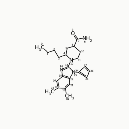 CCCCC1CC(C(N)=O)CCN1c1nc2cc(C)c(C)cc2n1C1=CC=C1